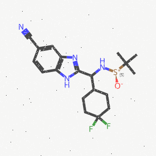 CC(C)(C)[S@@+]([O-])NC(c1nc2cc(C#N)ccc2[nH]1)C1CCC(F)(F)CC1